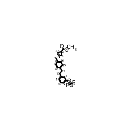 COC(=O)C1CN(Cc2ccc(CCc3cccc(OC(F)(F)F)c3)cc2)C1